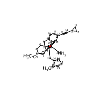 COC1CCC2(CC1)Cc1ccc(C#CC3CC3)cc1C21N=C(N)N(Cc2nncn2C)C1=O